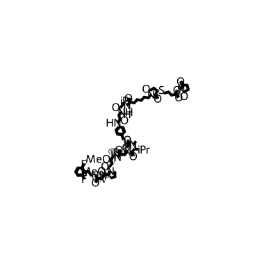 CC[C@H](C)C([C@@H](CC(=O)N1CCC[C@H]1[C@H](OC)[C@@H](C)C(=O)NCCc1c(F)cccc1F)OC)N(C)C(=O)CNC(=O)C(C(C)C)N(C)C(=O)OCc1ccc(NC(=O)CNC(=O)C(NC(=O)CCCCCN2C(=O)CC(SCCCC(=O)ON3C(=O)CCC3=O)C2=O)C(C)C)cc1